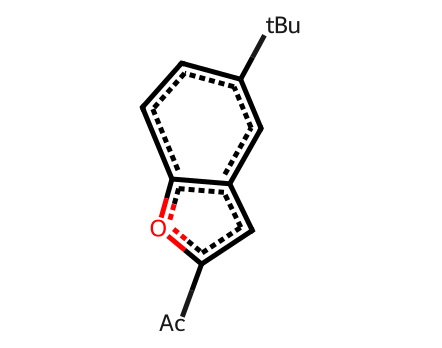 CC(=O)c1cc2cc(C(C)(C)C)ccc2o1